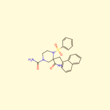 NC(=O)N1CCN(S(=O)(=O)c2ccccc2)C(Cc2cccc3ccccc23)(C(N)=O)C1